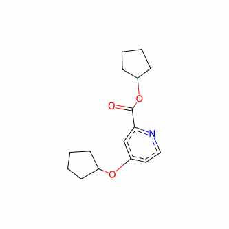 O=C(OC1CCCC1)c1cc(OC2CCCC2)ccn1